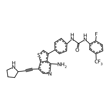 Nc1ncc(C#CC2CCCN2)c2scc(-c3ccc(NC(=O)Nc4cc(C(F)(F)F)ccc4F)cc3)c12